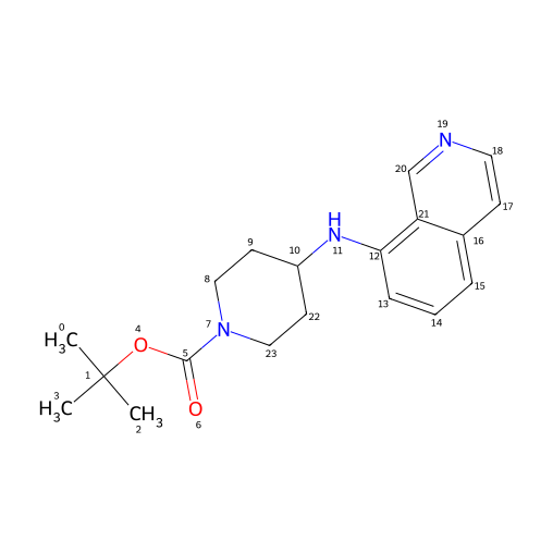 CC(C)(C)OC(=O)N1CCC(Nc2cccc3ccncc23)CC1